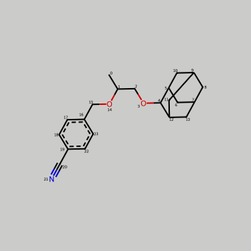 CC(COC1C2CC3CC(C2)CC1C3)OCc1ccc(C#N)cc1